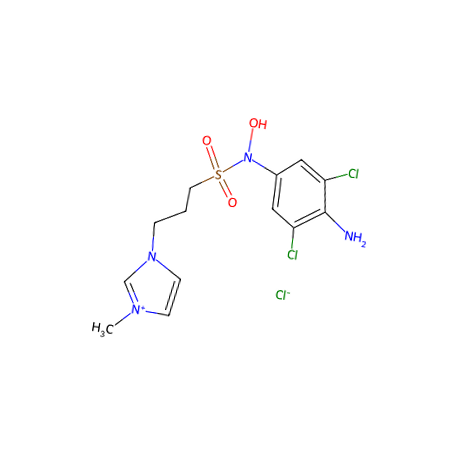 C[n+]1ccn(CCCS(=O)(=O)N(O)c2cc(Cl)c(N)c(Cl)c2)c1.[Cl-]